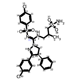 CC(CN/C(=N\S(=O)(=O)c1ccc(Cl)cc1)N1C[C@@H](c2ccccc2)C(c2ccc(Cl)cc2)=N1)CS(N)(=O)=O